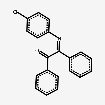 O=C(C(=Nc1ccc(Cl)cc1)c1ccccc1)c1ccccc1